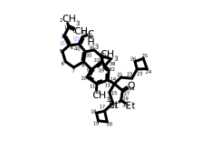 C=C(C)/C=C1/CCCC(c2cc(C)c(C(CCC3CCC3)(CCC3CCC3)C(=O)C(CC)CC)cc2C)=C(CC2CC2)/C1=C\C